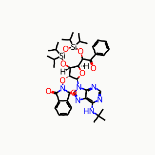 CC(C)[Si]1(C(C)C)OC(C(=O)c2ccccc2)[C@H]2O[C@@H](n3cnc4c(NC(C)(C)C)ncnc43)[C@H](ON3C(=O)c4ccccc4C3=O)[C@@H]2O[Si](C(C)C)(C(C)C)O1